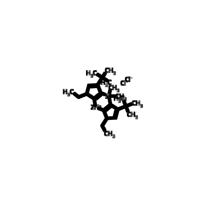 CCC1C=C(C(C)(C)C)C2=[C]1[Zr+2][C]1=C(C(C(C)(C)C)=CC1CC)[Si]2(C)C.[Cl-].[Cl-]